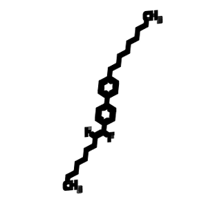 CCCCCCCCCc1ccc(-c2ccc(C(F)=C(F)CCCCCCC)cc2)cc1